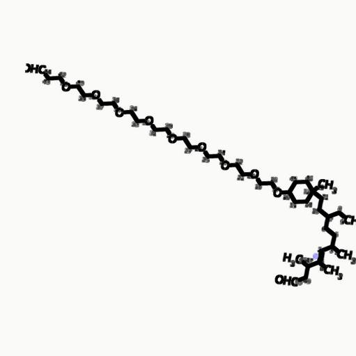 C/C(=C\C(C)CCC(CC=O)CCC1(C)CCC(OCCOCCOCCOCCOCCOCCOCCOCCOCCC=O)CC1)C(C)CC=O